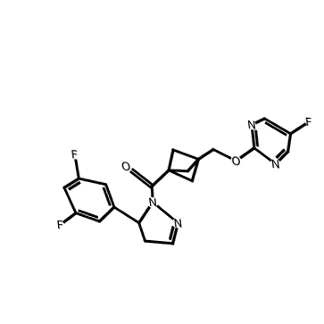 O=C(N1N=CCC1c1cc(F)cc(F)c1)C12CC(COc3ncc(F)cn3)(C1)C2